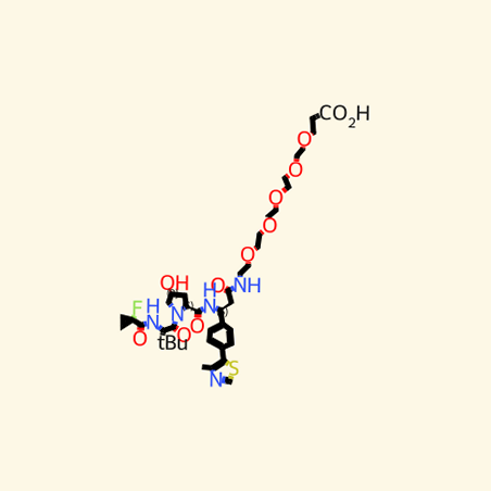 Cc1ncsc1-c1ccc([C@H](CC(=O)NCCOCCOCCOCCOCCOCCC(=O)O)NC(=O)[C@@H]2C[C@@H](O)CN2C(=O)C(NC(=O)C2(F)CC2)C(C)(C)C)cc1